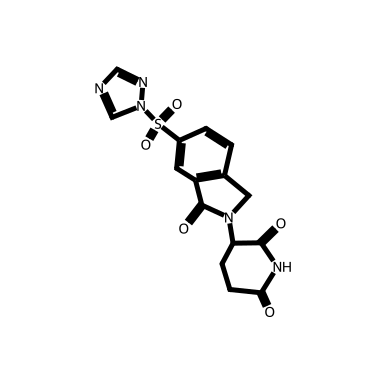 O=C1CCC(N2Cc3ccc(S(=O)(=O)n4cncn4)cc3C2=O)C(=O)N1